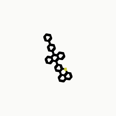 c1ccc(-c2ccc(-c3c4ccccc4c(-c4ccc5c(c4)Sc4cccc6cccc-5c46)c4ccccc34)cc2)cc1